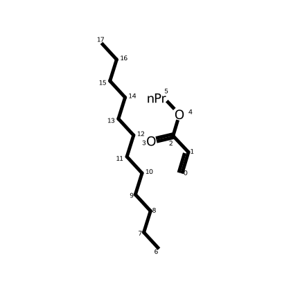 C=CC(=O)OCCC.CCCCCCCCCCCC